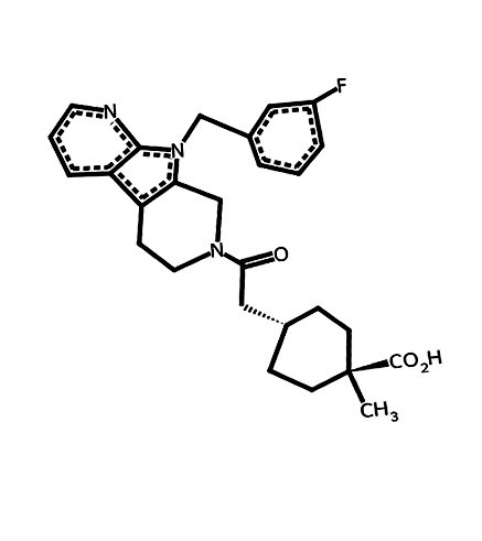 C[C@]1(C(=O)O)CC[C@H](CC(=O)N2CCc3c(n(Cc4cccc(F)c4)c4ncccc34)C2)CC1